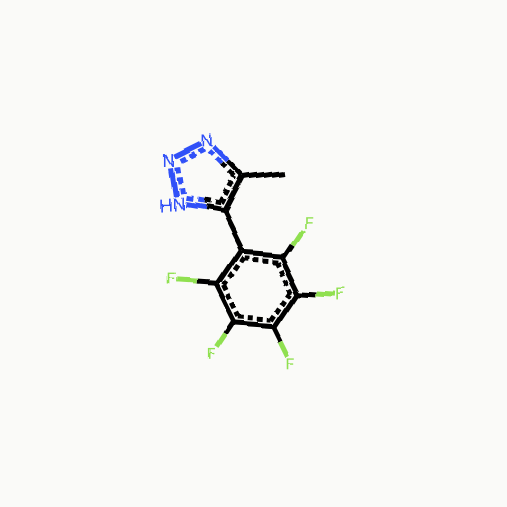 Cc1nn[nH]c1-c1c(F)c(F)c(F)c(F)c1F